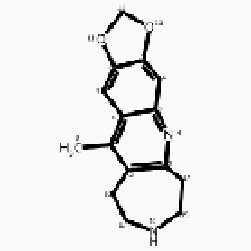 Cc1c2c(nc3cc4c(cc13)OCO4)CCNCC2